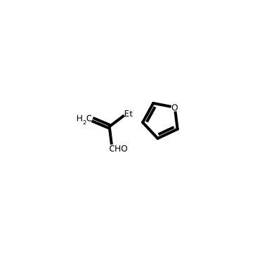 C=C(C=O)CC.c1ccoc1